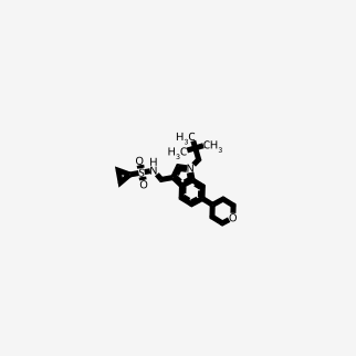 CC(C)(C)Cn1cc(CNS(=O)(=O)C2CC2)c2ccc(C3CCOCC3)cc21